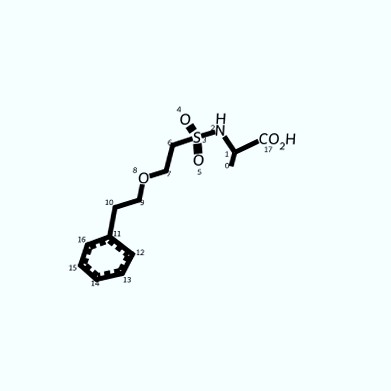 CC(NS(=O)(=O)CCOCCc1ccccc1)C(=O)O